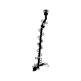 [CH2]c1ccc(NC(=O)[C@H](CCCCN)NC(=O)CC(=O)CC(=O)NCCC(=O)CCC(=O)CCC(=O)CCC(=O)CCC(=O)CCC(=O)CCC(=O)CCC(=O)CCn2cc(CNC(=O)CCCC#Cc3cnc(S(C)(=O)=O)nc3)nn2)cc1